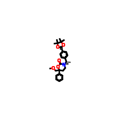 COCC1(c2ccccc2)CCN([C@@H](C)c2ccc(B3OC(C)(C)C(C)(C)O3)cc2)C(=O)O1